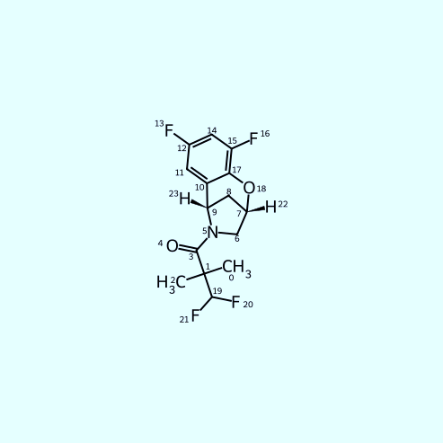 CC(C)(C(=O)N1C[C@@H]2C[C@H]1c1cc(F)cc(F)c1O2)C(F)F